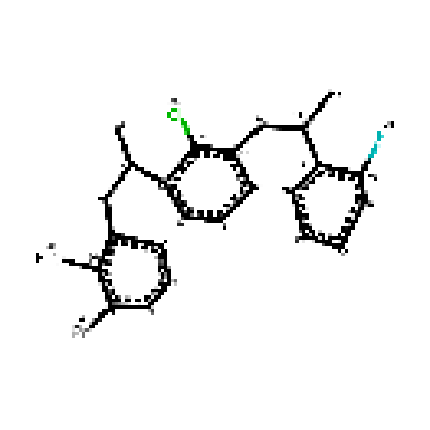 CC(C)c1cccc(CC(C)c2cccc(CC(C)c3ccccc3F)c2Cl)c1C(F)(F)F